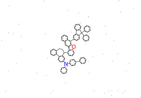 c1ccc(-c2ccc(N(c3ccccc3)c3ccc4c(c3)C(c3cccc5oc6c(-c7ccc8c(c7)-c7ccccc7C8(c7ccccc7)c7ccccc7)c7ccccc7cc6c35)CCc3ccccc3-4)cc2)cc1